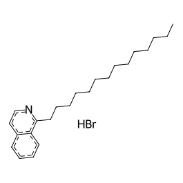 Br.CCCCCCCCCCCCCCc1nccc2ccccc12